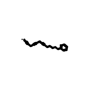 [CH2]C#CCC#CCC#CCCCCCc1ccccc1